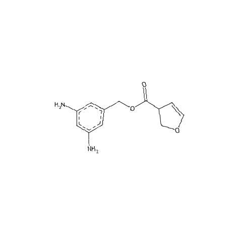 Nc1cc(N)cc(COC(=O)C2C=COC2)c1